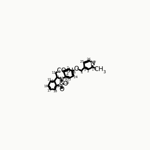 Cc1cc(COc2ccc(N3C(CC(=O)O)c4ccccc4S3(=O)=O)cc2)ccn1